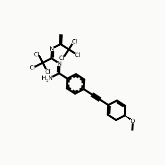 C=C(/N=C(\N=C(/N)c1ccc(C#CC2=CC[C@H](OC)C=C2)cc1)C(Cl)(Cl)Cl)C(Cl)(Cl)Cl